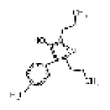 CCCc1nn(CCC)c(O)c1-c1ccc(C)cc1